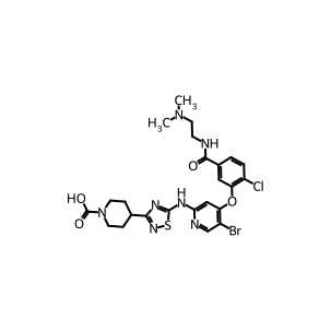 CN(C)CCNC(=O)c1ccc(Cl)c(Oc2cc(Nc3nc(C4CCN(C(=O)O)CC4)ns3)ncc2Br)c1